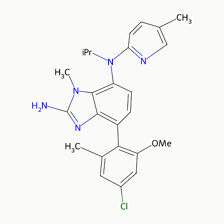 COc1cc(Cl)cc(C)c1-c1ccc(N(c2ccc(C)cn2)C(C)C)c2c1nc(N)n2C